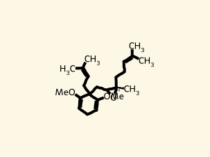 COC1=CCC=C(OC)C1(CC=C(C)C)CC1O[C@@]1(C)CCC=C(C)C